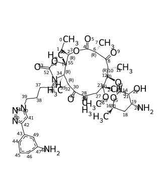 CC[C@H]1OC(=O)[C@H](C)C(=O)[C@H](C)[C@@H](O[C@@H]2O[C@H](C)CC(N)C2O)[C@](C)(OC)C[C@@H](C)C(=O)[C@H](C)[C@H]2N(CCCCn3cc(-c4cccc(N)c4)nn3)C(=O)O[C@]12C